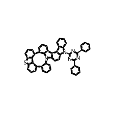 c1ccc(-c2nc(-c3ccccc3)nc(-n3c4ccccc4c4c5c6cccc7c8cccc9sc%10cccc(c%11ccccc%11n(c5ccc43)c76)c%10c98)n2)cc1